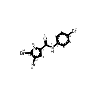 O=C(Nc1ccc(Br)cc1)c1cc(Br)c(Br)s1